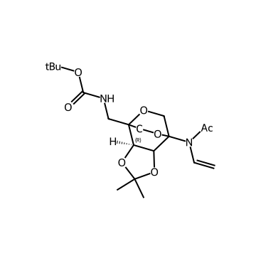 C=CN(C(C)=O)C12COC(CNC(=O)OC(C)(C)C)(CO1)[C@@H]1OC(C)(C)OC12